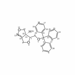 c1ccc(C(OCC2OCC3=NOC[C@H]32)(c2ccccc2)c2ccccc2)cc1